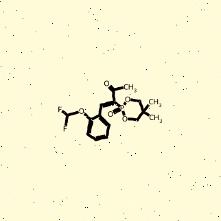 CC(=O)C(=Cc1ccccc1OC(F)F)P1(=O)OCC(C)(C)CO1